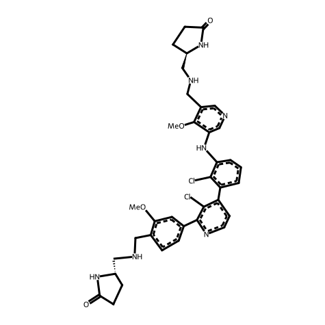 COc1cc(-c2nccc(-c3cccc(Nc4cncc(CNC[C@H]5CCC(=O)N5)c4OC)c3Cl)c2Cl)ccc1CNC[C@@H]1CCC(=O)N1